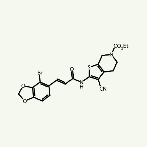 CCOC(=O)N1CCc2c(sc(NC(=O)C=Cc3ccc4c(c3Br)OCO4)c2C#N)C1